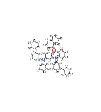 c1ccc(-c2cccc(N(c3ccccc3)c3cc(N(c4ccccc4)c4cccc(-c5ccccc5)c4)c4oc5c6ccccc6ccc5c4c3)c2)cc1